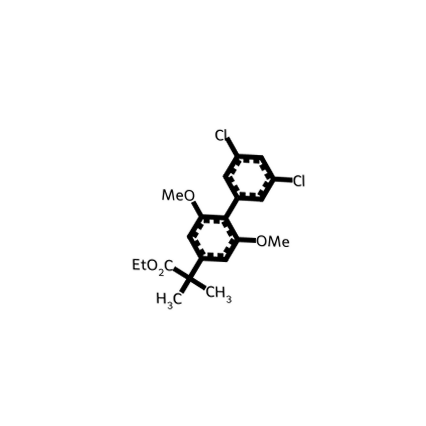 CCOC(=O)C(C)(C)c1cc(OC)c(-c2cc(Cl)cc(Cl)c2)c(OC)c1